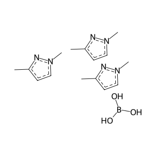 Cc1ccn(C)n1.Cc1ccn(C)n1.Cc1ccn(C)n1.OB(O)O